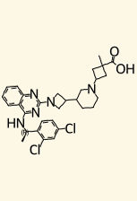 C[C@@H](Nc1nc(N2CC(C3CCCN(C4CC(C)(C(=O)O)C4)C3)C2)nc2ccccc12)c1ccc(Cl)cc1Cl